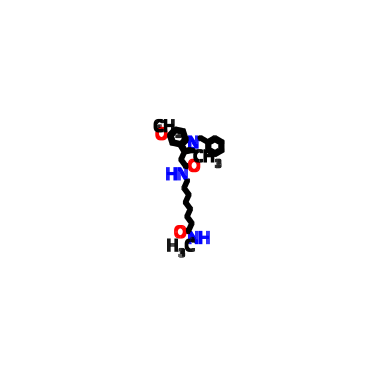 CNC(=O)CCCCCCCNC(=O)Cc1c(C)n(Cc2ccccc2)c2ccc(OC)cc12